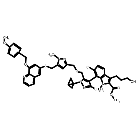 COC(=O)c1c(CCCO)c2ccc(Cl)c(-c3c(C)nn(C45CC4C5)c3CSCc3cc(CSc4cc(OCc5ccc(OC)cc5)c5ncccc5c4)n(C)n3)c2n1C